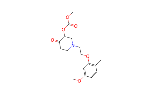 COC(=O)OC1CN(CCOc2cc(OC)ccc2C)CCC1=O